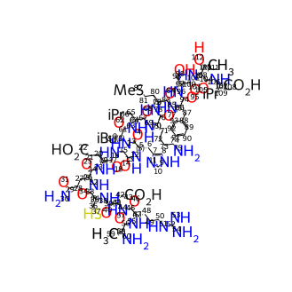 CC[C@H](C)[C@H](NC(=O)[C@H](Cc1c[nH]cn1)NC(=O)CNC(=O)[C@H](CCC(=O)O)NC(=O)[C@H](CCC(N)=O)NC(=O)[C@H](CS)NC(=O)[C@H](CC(=O)O)NC(=O)[C@H](CCCNC(=N)N)NC(=O)[C@H](C)N)C(=O)N[C@@H](CC(C)C)C(=O)N[C@@H](CCCCN)C(=O)N[C@@H](CCSC)C(=O)N[C@@H](Cc1ccccc1)C(=O)N[C@@H](CO)C(=O)N[C@H](C(=O)N[C@H](C(=O)O)C(C)C)[C@@H](C)O